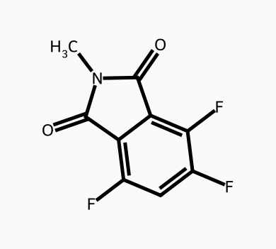 CN1C(=O)c2c(F)cc(F)c(F)c2C1=O